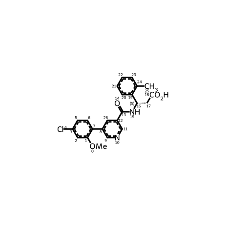 COc1cc(Cl)ccc1-c1cncc(C(=O)N[C@@H](CC(=O)O)c2ccccc2C)c1